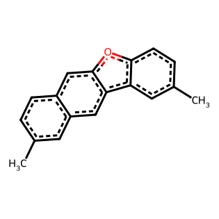 Cc1ccc2cc3oc4ccc(C)cc4c3cc2c1